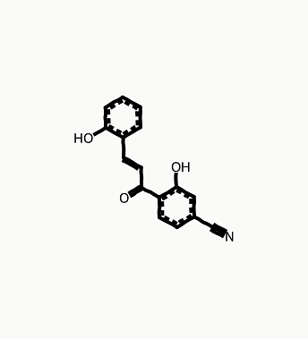 N#Cc1ccc(C(=O)/C=C/c2ccccc2O)c(O)c1